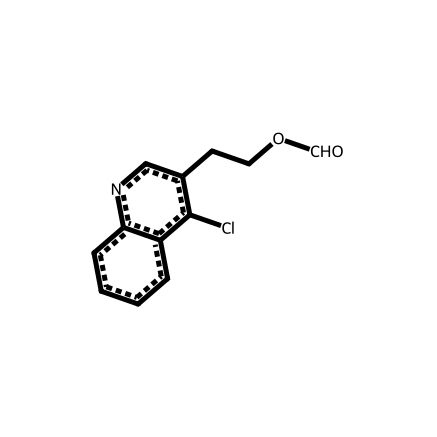 O=COCCc1cnc2ccccc2c1Cl